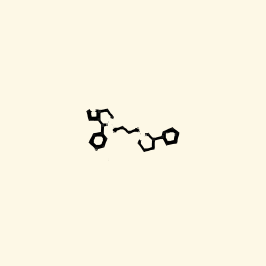 Cc1ccc(C2c3ccsc3CCN2C(=O)CCC(=O)N2CCCC(c3ccccc3)C2)cc1